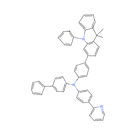 CC1(C)c2ccccc2N(c2ccccc2)c2cc(-c3ccc(N(c4ccc(-c5ccccc5)cc4)c4ccc(-c5ccccn5)cc4)cc3)ccc21